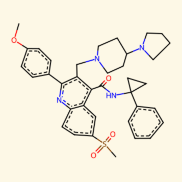 COc1ccc(-c2nc3ccc(S(C)(=O)=O)cc3c(C(=O)NC3(c4ccccc4)CC3)c2CN2CCC(N3CCCC3)CC2)cc1